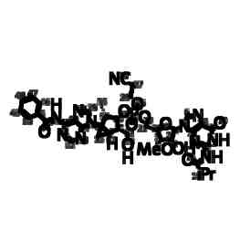 CO[C@H]1[C@@H](O)[C@H](n2cnc3c(=O)[nH]c(NC(=O)C(C)C)nc32)O[C@@H]1COP(=O)(OCCC#N)O[C@@H]1[C@@H](CO)[C@@H]2CC2(n2cnc3c(NC(=O)c4ccccc4)ncnc32)[C@@H]1C